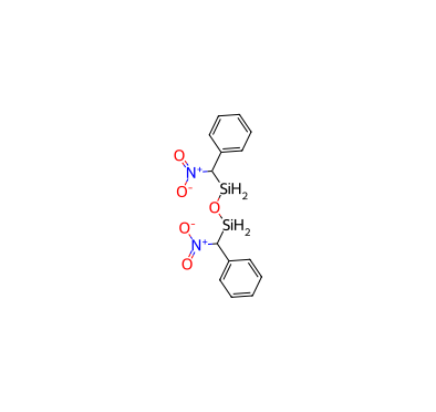 O=[N+]([O-])C([SiH2]O[SiH2]C(c1ccccc1)[N+](=O)[O-])c1ccccc1